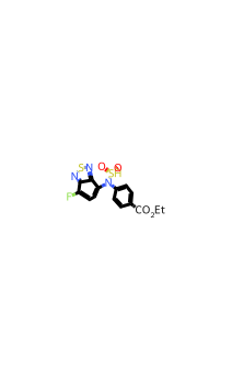 CCOC(=O)c1ccc(N(c2ccc(F)c3nsnc23)[SH](=O)=O)cc1